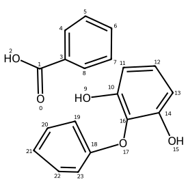 O=C(O)c1ccccc1.Oc1cccc(O)c1Oc1ccccc1